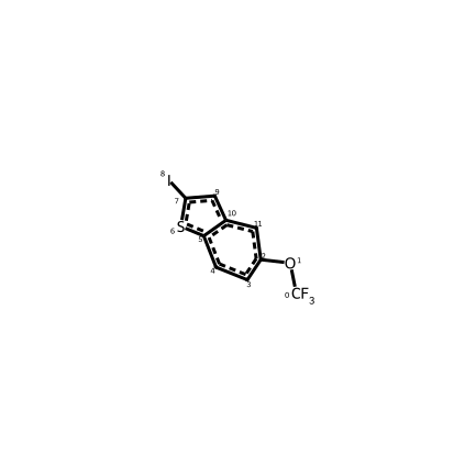 FC(F)(F)Oc1ccc2sc(I)cc2c1